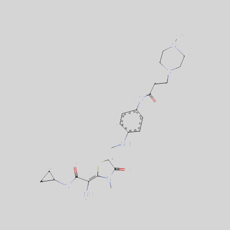 CCN1C(=O)[C@@H](CNc2ccc(NC(=O)CCN3CCN(C)CC3)cc2)S/C1=C(/N)C(=O)NC1CC1